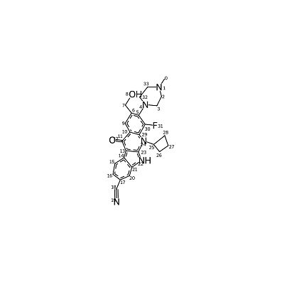 CN1CCN(c2c(CO)cc3c(=O)c4c5ccc(C#N)cc5[nH]c4n(C4CCC4)c3c2F)CC1